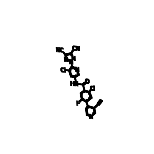 C#Cc1cnccc1-c1cc(Cl)c(C(=O)Nc2cnc(-n3nc(C#N)c(C#N)n3)c(Cl)c2)cc1F